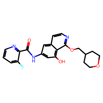 O=C(Nc1cc(O)c2c(OCC3CCOCC3)nccc2c1)c1ncccc1F